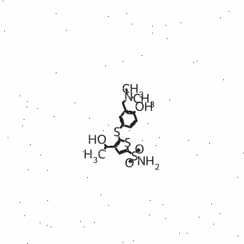 CC(O)c1cc(S(N)(=O)=O)sc1Sc1ccc(O)c(CN(C)C)c1